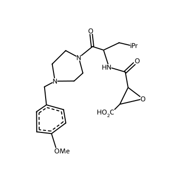 COc1ccc(CN2CCN(C(=O)C(CC(C)C)NC(=O)C3OC3C(=O)O)CC2)cc1